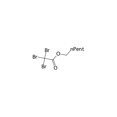 CCCCCCOC(=O)C(Br)(Br)Br